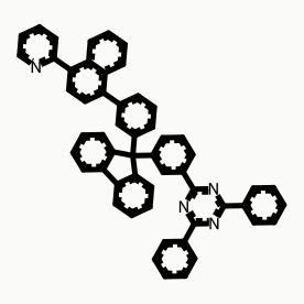 c1ccc(-c2nc(-c3ccccc3)nc(-c3cccc(C4(c5cccc(-c6ccc(-c7ccccn7)c7ccccc67)c5)c5ccccc5-c5ccccc54)c3)n2)cc1